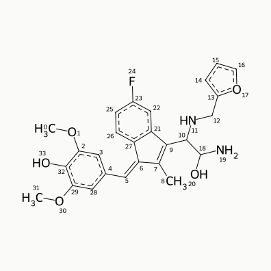 COc1cc(/C=C2/C(C)=C(C(NCc3ccco3)C(N)O)c3cc(F)ccc32)cc(OC)c1O